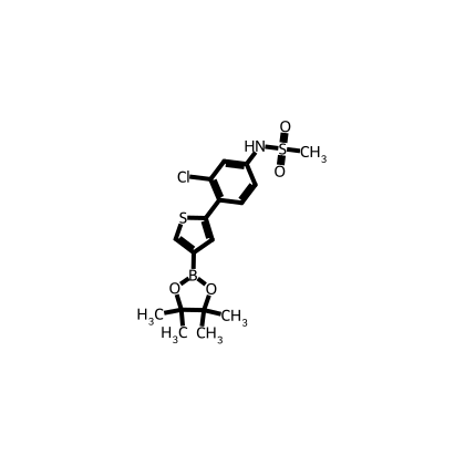 CC1(C)OB(c2csc(-c3ccc(NS(C)(=O)=O)cc3Cl)c2)OC1(C)C